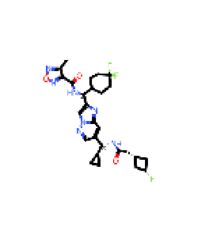 Cc1nonc1C(=O)N[C@H](c1cn2ncc([C@H](NC(=O)C[C@H]3C[C@@H](F)C3)C3CC3)cc2n1)C1CCC(F)(F)CC1